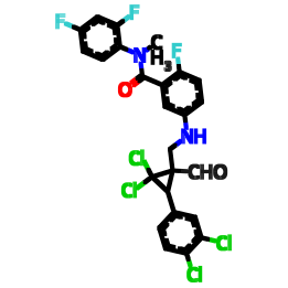 CN(C(=O)c1cc(NCC2(C=O)C(c3ccc(Cl)c(Cl)c3)C2(Cl)Cl)ccc1F)c1ccc(F)cc1F